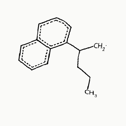 [CH2]C(CCC)c1cccc2ccccc12